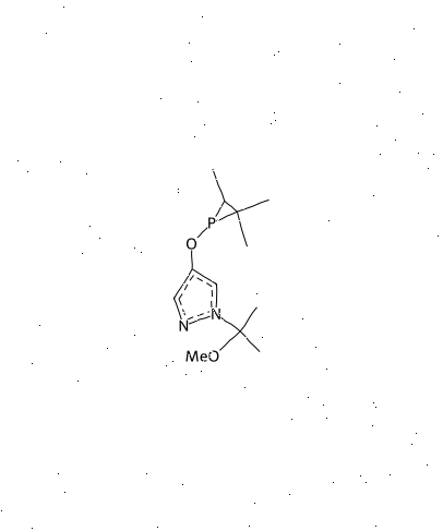 COC(C)(C)n1cc(OP2C(C)C2(C)C)cn1